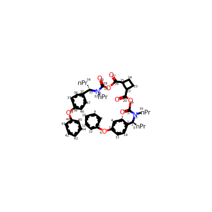 CCC[C@@H](c1ccc(Oc2ccccc2)cc1)N(CCC)C(=O)OC(=O)C1CCC1C(=O)OC(=O)N(CCC)[C@@H](CCC)c1ccc(Oc2ccccc2)cc1